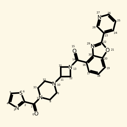 O=C(c1nccs1)N1CCN(C2CN(C(=O)c3cccc4oc(-c5cccnc5)nc34)C2)CC1